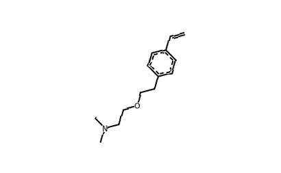 C=Cc1ccc(CCOCCN(C)C)cc1